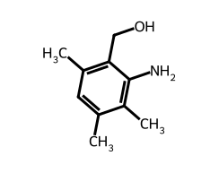 Cc1cc(C)c(CO)c(N)c1C